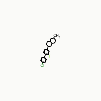 CC1CCC2CC(c3ccc(-c4ccc(Cl)cc4)c(F)c3)CCC2C1